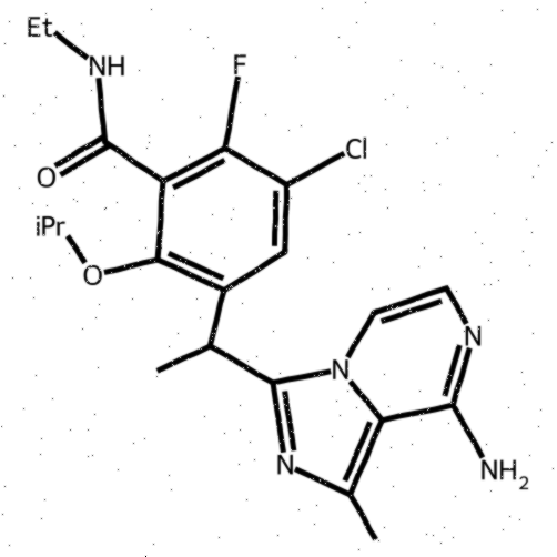 CCNC(=O)c1c(F)c(Cl)cc(C(C)c2nc(C)c3c(N)nccn23)c1OC(C)C